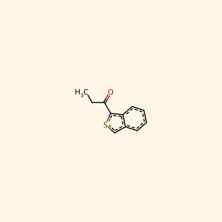 CCC(=O)c1scc2ccccc12